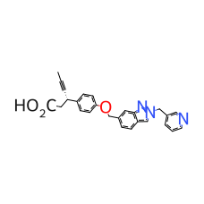 CC#C[C@@H](CC(=O)O)c1ccc(OCc2ccc3cn(Cc4cccnc4)nc3c2)cc1